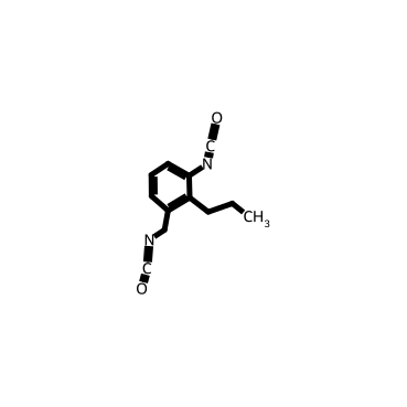 CCCc1c(CN=C=O)cccc1N=C=O